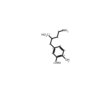 COc1cc(CC(CCN)C(=O)O)ccc1O